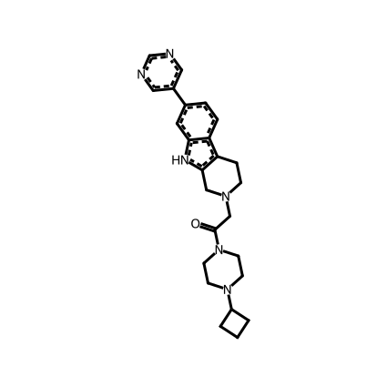 O=C(CN1CCc2c([nH]c3cc(-c4cncnc4)ccc23)C1)N1CCN(C2CCC2)CC1